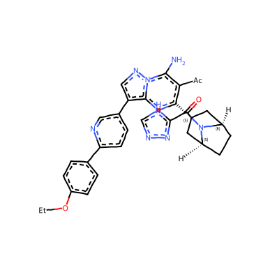 CCOc1ccc(-c2ccc(-c3cnn4c(N)c(C(C)=O)c([C@@H]5C[C@H]6CC[C@@H](C5)N6C(=O)c5nnc[nH]5)nc34)cn2)cc1